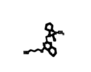 Cn1c(=O)n(Cc2nc(OCCCO)c3ccccc3n2)c2ccccc21